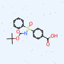 CC(C)(C)OC(=O)N=S(=O)(c1ccccc1)c1ccc(C(=O)O)cc1